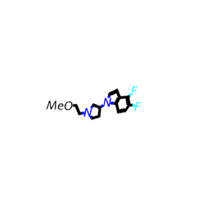 COCCN1CCC(n2ccc3c(F)c(F)ccc32)C1